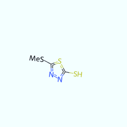 [CH2]Sc1nnc(S)s1